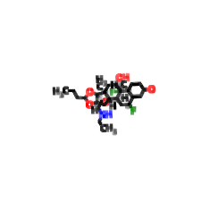 CCCC1O[C@@H]2C[C@H]3[C@@H]4C[C@H](F)C5=CC(=O)C=C[C@]5(C)[C@@]4(F)[C@@H](O)C[C@]3(C)[C@]2(C(=O)CNCC)O1